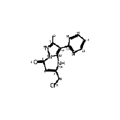 Cc1nn2c(=O)cc(CCl)[nH]c2c1-c1ccccc1